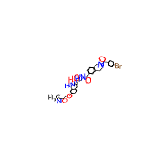 Cc1ncoc1COc1ccc2c(c1)CN[C@H](C(O)CNC(=O)c1ccc3c(c1)CCN(C(=O)c1ccc(Br)cc1)C3)C2